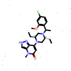 CC[C@H]1CN(C(C)c2ccc(F)cc2OC)[C@H](CC)CN1c1cc(=O)n(C)c2c[nH]nc12